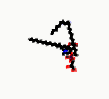 CCCCC/C=C\C/C=C\CCCCCCCC(=O)C(CCC)C(C(=O)CCCCCCCCCCCCCCCCC)C(C[N+](C)(C)C)OP(=O)(O)OCC(O)CO